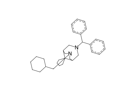 c1ccc(C(c2ccccc2)N2CC3CN(CC4CCCCC4)CC(C2)C32CCCC2)cc1